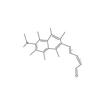 Cc1c(N(C)C)c(C)c2c(C)c(C)c(/C=C/C=C\C=O)c(C)c2c1C